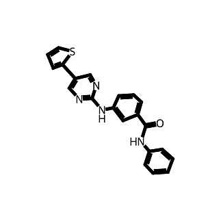 O=C(Nc1ccccc1)c1cccc(Nc2ncc(-c3cccs3)cn2)c1